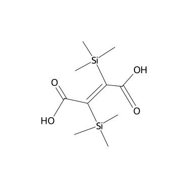 C[Si](C)(C)/C(C(=O)O)=C(\C(=O)O)[Si](C)(C)C